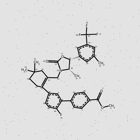 COC(=O)c1ccc(-c2cc(C3=C(CN4C(=O)O[C@H](c5cc(C)cc(C(F)(F)F)c5)[C@@H]4C)CC(C)(C)CC3)ccc2F)cc1